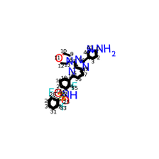 Nc1ccc(-c2nc(N3CCOCC3)c3nc(-c4cccc(NS(=O)(=O)c5c(F)cccc5F)c4F)ccc3n2)cn1